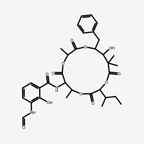 CCC(C)C1OC(=O)C(C)(C)C(O)C(Cc2ccccc2)OC(=O)C(C)OC(=O)C(NC(=O)c2cccc(NC=O)c2O)C(C)OC1=O